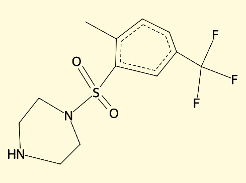 Cc1ccc(C(F)(F)F)cc1S(=O)(=O)N1CCNCC1